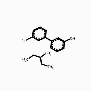 CCC(C)CC.Oc1cccc(-c2cccc(O)c2)c1